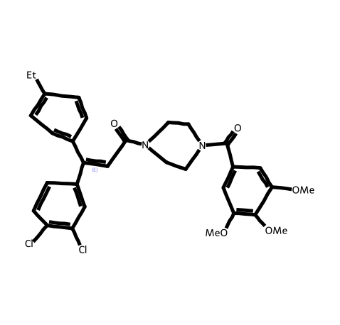 CCc1ccc(/C(=C\C(=O)N2CCN(C(=O)c3cc(OC)c(OC)c(OC)c3)CC2)c2ccc(Cl)c(Cl)c2)cc1